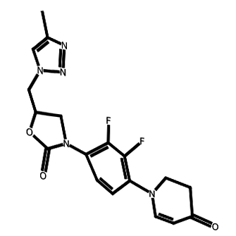 Cc1cn(CC2CN(c3ccc(N4C=CC(=O)CC4)c(F)c3F)C(=O)O2)nn1